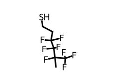 CC(F)(C(F)(F)F)C(F)(F)C(F)(F)CCS